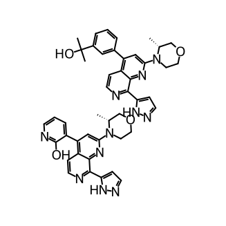 C[C@@H]1COCCN1c1cc(-c2cccc(C(C)(C)O)c2)c2ccnc(-c3ccn[nH]3)c2n1.C[C@@H]1COCCN1c1cc(-c2cccnc2O)c2ccnc(-c3ccn[nH]3)c2n1